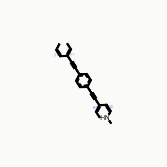 C/C=C\C(C#Cc1ccc(C#CC(/C=C\NC)=C/C)cc1)=C/C